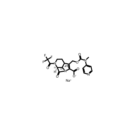 CN(C(=O)OCC1=C(C(=O)[O-])N2C(=O)[C@@H]3[C@H]2C1CCN3C(=O)C(F)(F)F)c1ccncc1.[Na+]